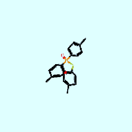 Cc1ccc(SP(=O)(c2ccc(C)cc2)c2ccc(C)cc2)cc1